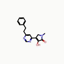 CN1CC(c2cc(CCc3ccccc3)ncn2)=C(O)C1=O